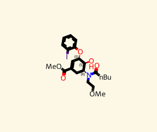 CCCCC(=O)N(CCOC)[C@@H]1CC(C(=O)OC)=C[C@H](Oc2ccccc2I)[C@H]1O